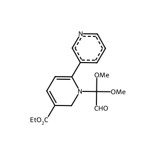 CCOC(=O)C1=CC=C(c2cccnc2)N(C(C=O)(OC)OC)C1